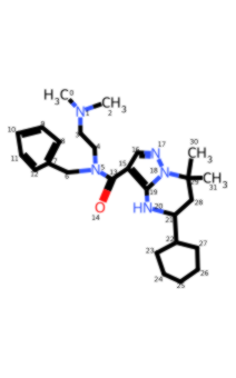 CN(C)CCN(Cc1ccccc1)C(=O)c1cnn2c1NC(C1CCCCC1)CC2(C)C